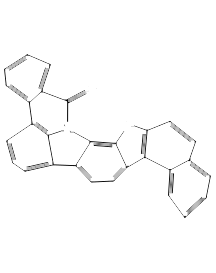 O=c1c2ccccc2c2cccc3c4ccc5c(sc6ccc7ccccc7c65)c4n1c23